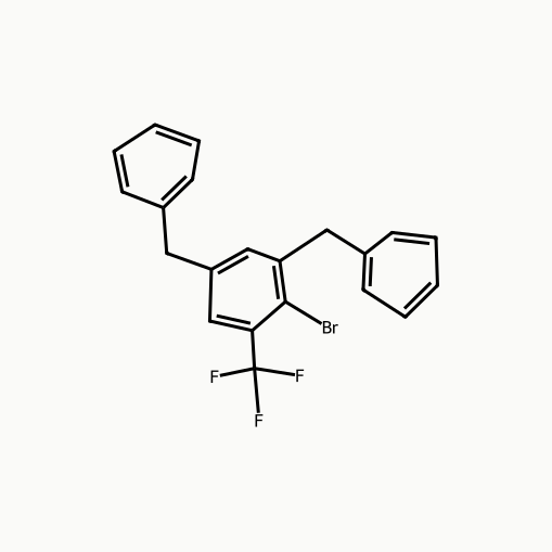 FC(F)(F)c1cc(Cc2ccccc2)cc(Cc2ccccc2)c1Br